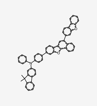 CC1(C)c2ccccc2-c2ccc(N(c3ccccc3)c3ccc(-c4ccc5c(c4)oc4c6ccccc6c(-c6ccc7c(c6)oc6ccccc67)cc54)cc3)cc21